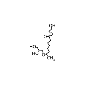 CC(CCCCCC(=O)OCCO)OCC(O)CO